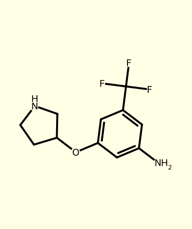 Nc1cc(OC2CCNC2)cc(C(F)(F)F)c1